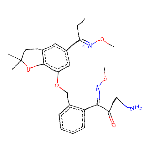 CC/C(=N\OC)c1cc2c(c(OCc3ccccc3C(=NOC)C(=O)CN)c1)OC(C)(C)C2